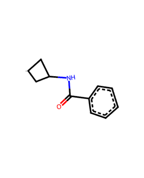 O=C(NC1C[CH]C1)c1ccccc1